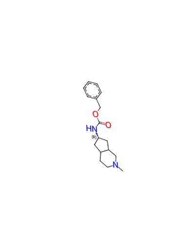 CN1CCC2C[C@@H](NC(=O)OCc3ccccc3)CC2C1